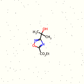 CCOC(=O)c1nc(C(C)(C)O)no1